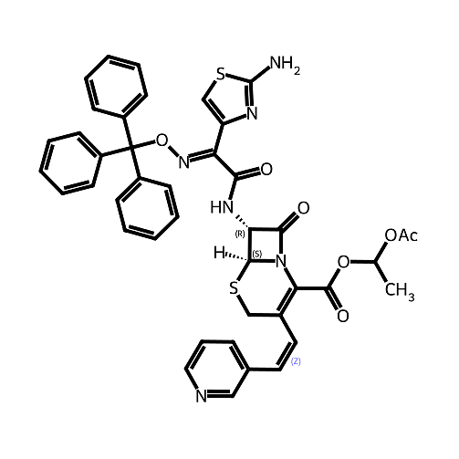 CC(=O)OC(C)OC(=O)C1=C(/C=C\c2cccnc2)CS[C@H]2[C@H](NC(=O)C(=NOC(c3ccccc3)(c3ccccc3)c3ccccc3)c3csc(N)n3)C(=O)N12